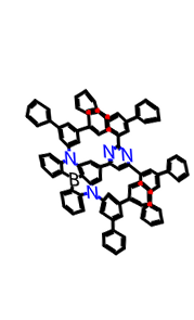 c1ccc(-c2cc(-c3ccccc3)cc(-c3cc(-c4cc5c6c(c4)N(c4cc(-c7ccccc7)cc(-c7ccccc7)c4)c4ccccc4B6c4ccccc4N5c4cc(-c5ccccc5)cc(-c5ccccc5)c4)nc(-c4cc(-c5ccccc5)cc(-c5ccccc5)c4)n3)c2)cc1